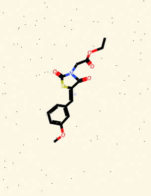 CCOC(=O)CN1C(=O)S/C(=C\c2cccc(OC)c2)C1=O